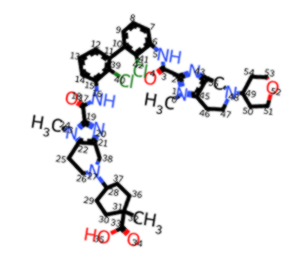 Cn1c(C(=O)Nc2cccc(-c3cccc(NC(=O)c4nc5c(n4C)CCN(C4CCC(C)(C(=O)O)CC4)C5)c3Cl)c2Cl)nc2c1CCN(C1CCOCC1)C2